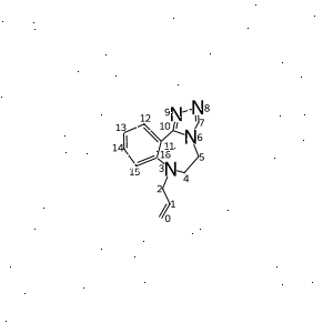 C=CCN1CCn2cnnc2-c2ccccc21